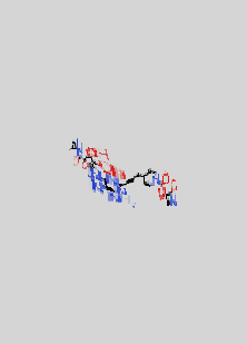 CN1CC(OC(=O)N2CCC(CC#Cc3nc(N)c4ncn([C@@H]5O[C@H](C(=O)NC6CC6)[C@H](O)C5O)c4n3)CC2)C1=O